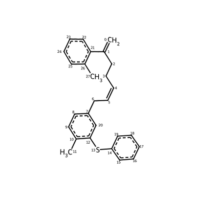 C=C(CC/C=C\Cc1ccc(C)c(Sc2ccccc2)c1)c1ccccc1C